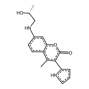 Cc1c(-c2ccc[nH]2)c(=O)oc2cc(NC[C@@H](C)O)ccc12